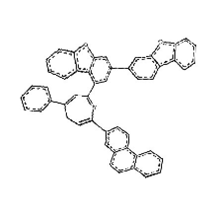 C1=C(c2ccccc2)CC=C(c2ccc3c(ccc4ccccc43)c2)N=C1c1cc(-c2ccc3c(c2)oc2ccccc23)cc2oc3ccccc3c12